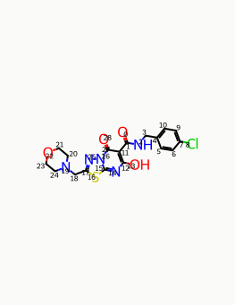 O=C(NCc1ccc(Cl)cc1)c1c(O)nc2sc(CN3CCOCC3)nn2c1=O